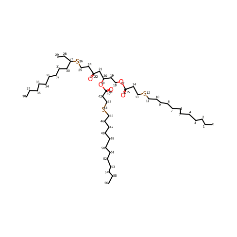 CCCCCCCCCCCCSCCC(=O)OCCC(CC(=O)CCSC(CC)CCCCCCCCC)OC(=O)CCSCCCCCCCCCCCC